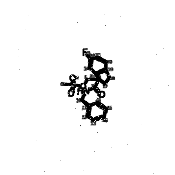 CS(=O)(=O)OCC1(C(=O)NCc2ccccc2)CCc2ccc(F)cc21